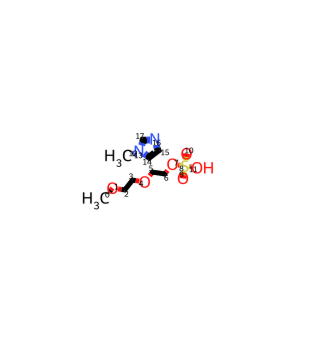 COCCOCCOS(=O)(=O)O.Cn1ccnc1